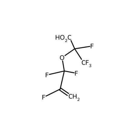 C=C(F)C(F)(F)OC(F)(C(=O)O)C(F)(F)F